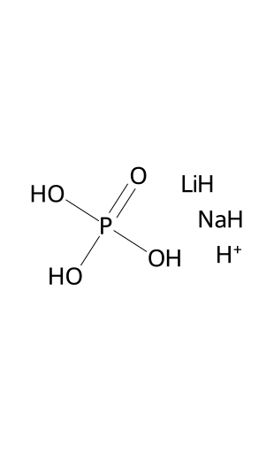 O=P(O)(O)O.[H+].[LiH].[NaH]